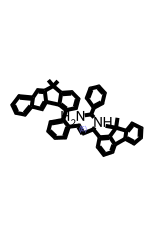 CC1(C)c2cc3ccccc3cc2-c2c(-c3ccccc3/C=C/C(NC(N)c3ccccc3)c3cccc4c3C(C)(C)c3ccccc3-4)cccc21